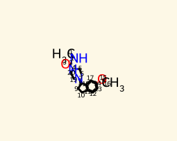 CNC(=O)N1CCN(C2CCc3ccc(OC)cc32)CC1